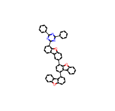 c1ccc(-c2nc(-c3ccccc3)nc(-c3cccc4c3oc3ccc(-c5ccc(-c6cccc7oc8ccccc8c67)c6c5oc5ccccc56)cc34)n2)cc1